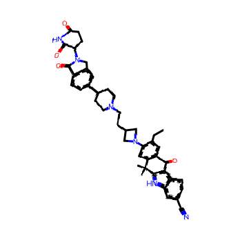 CCc1cc2c(cc1N1CC(CCN3CCC(c4ccc5c(c4)CN(C4CCC(=O)NC4=O)C5=O)CC3)C1)C(C)(C)c1[nH]c3cc(C#N)ccc3c1C2=O